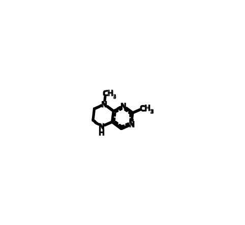 Cc1ncc2c(n1)N(C)CCN2